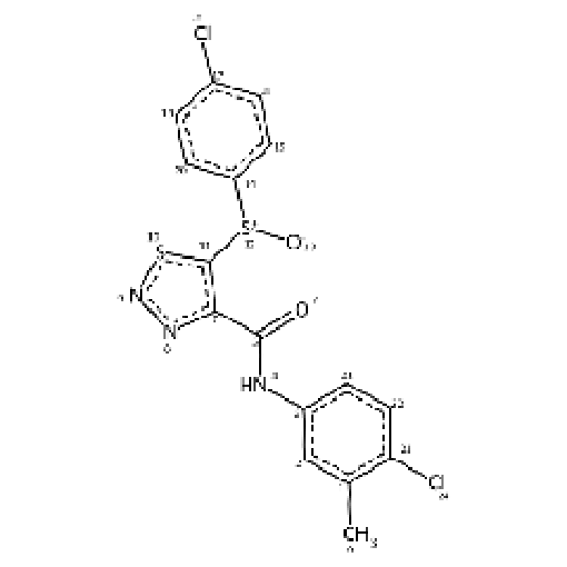 Cc1cc(NC(=O)c2nnsc2[S+]([O-])c2ccc(Cl)cc2)ccc1Cl